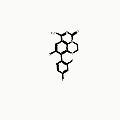 Nc1nc(=O)n2c3c(c(-c4ccc(F)cc4F)c(Cl)cc13)SCC2